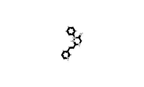 O=C1COC(C=Cc2cccnc2)=NN1c1ccccc1